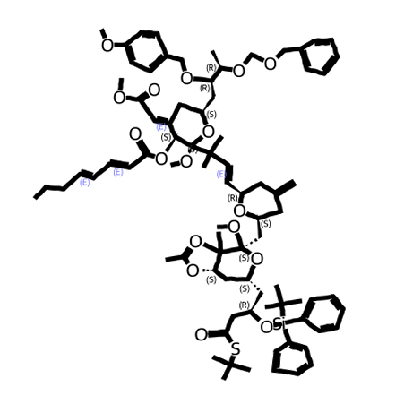 C=C1C[C@@H](C[C@]2(OC)O[C@H](C[C@H](CC(=O)SC(C)(C)C)O[Si](c3ccccc3)(c3ccccc3)C(C)(C)C)C[C@H](OC(C)=O)C2(C)C)O[C@@H](/C=C/C(C)(C)[C@]2(OC)O[C@H](C[C@@H](OCc3ccc(OC)cc3)[C@@H](C)OCOCc3ccccc3)C/C(=C\C(=O)OC)[C@@H]2OC(=O)/C=C/C=C/CCC)C1